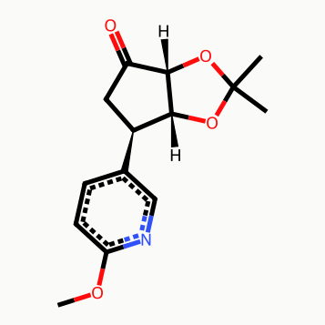 COc1ccc([C@H]2CC(=O)[C@@H]3OC(C)(C)O[C@H]23)cn1